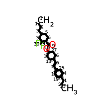 C=CCCC1CCC(C(=O)OC2CCC(/C=C/c3ccc(CCC)cc3)CC2)C(F)(F)C1